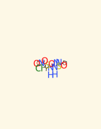 Cc1c(NC(=O)Nc2nnc(C3CCCO3)s2)sc(C(=O)N2CCOCC2)c1Cl